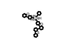 c1ccc(C2NC(c3ccc4c(c3)oc3ccccc34)NC(c3ccc4c(c3)oc3cccc(-c5cccc6c5sc5ccccc56)c34)N2)cc1